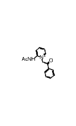 CC(=O)Nc1cccc[n+]1CC(=O)c1ccccc1